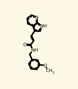 COc1cccc(CNC(=O)C=Cc2c[nH]c3ncccc23)c1